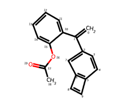 C=C(c1ccc2c(c1)C=C2)c1ccccc1OC(C)=O